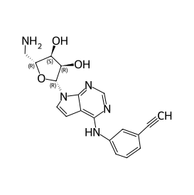 C#Cc1cccc(Nc2ncnc3c2ccn3[C@@H]2O[C@H](CN)[C@@H](O)[C@H]2O)c1